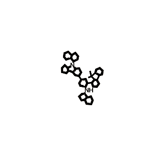 CC1(C)c2ccccc2-c2cccc(-c3cc(-c4ccc5c(c4)c4ccccc4n5-c4cccc5ccccc45)ccc3Nc3cccc4ccccc34)c21